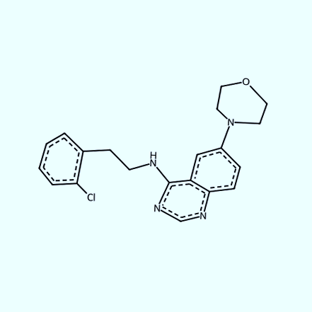 Clc1ccccc1CCNc1ncnc2ccc(N3CCOCC3)cc12